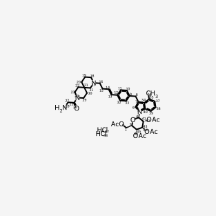 CC(=O)OC[C@H]1O[C@@H](n2cc(Cc3ccc(C=CCCN4CCCC5(CCN(C(=O)CN)CC5)C4)cc3)c3c(C)cccc32)[C@H](OC(C)=O)[C@@H](OC(C)=O)[C@@H]1OC(C)=O.Cl.Cl